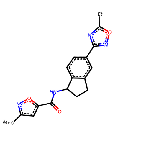 CCc1nc(-c2ccc3c(c2)CCC3NC(=O)c2cc(OC)no2)no1